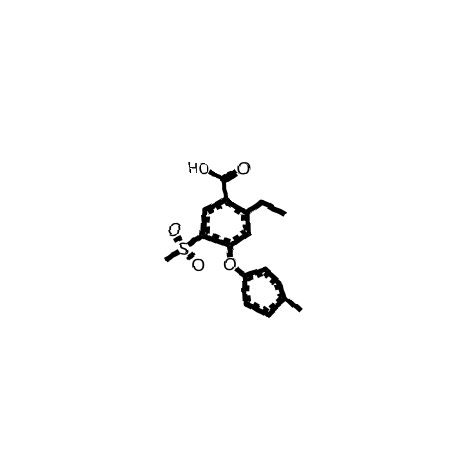 CCc1cc(Oc2ccc(C)cc2)c(S(C)(=O)=O)cc1C(=O)O